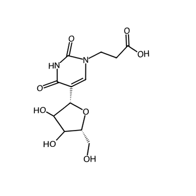 O=C(O)CCn1cc([C@@H]2O[C@H](CO)C(O)C2O)c(=O)[nH]c1=O